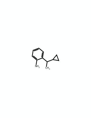 CC(c1ccccc1N)C1CC1